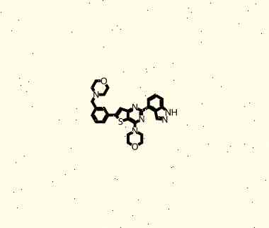 c1cc(CN2CCOCC2)cc(-c2cc3nc(-c4cccc5[nH]ncc45)nc(N4CCOCC4)c3s2)c1